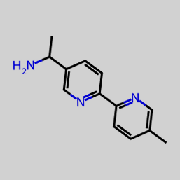 Cc1ccc(-c2ccc(C(C)N)cn2)nc1